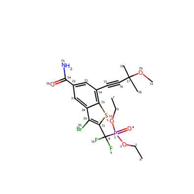 CCOP(=O)(OCC)C(F)(F)c1sc2c(C#CC(C)(C)OC)cc(C(N)=O)cc2c1Br